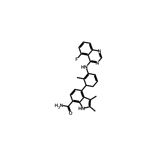 CC1=C(Nc2ncnc3cccc(F)c23)C=CCC1c1ccc(C(N)=O)c2[nH]c(C)c(C)c12